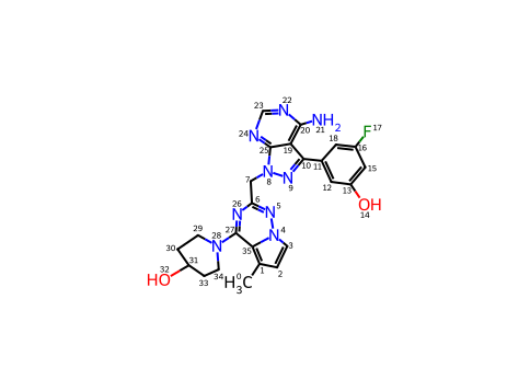 Cc1ccn2nc(Cn3nc(-c4cc(O)cc(F)c4)c4c(N)ncnc43)nc(N3CCC(O)CC3)c12